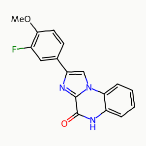 COc1ccc(-c2cn3c(n2)c(=O)[nH]c2ccccc23)cc1F